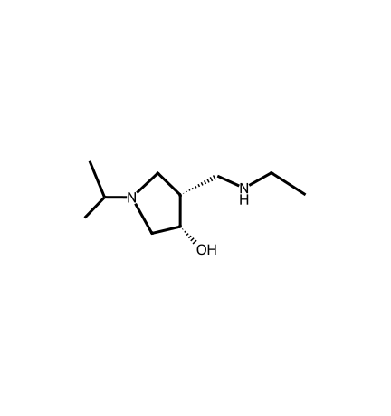 CCNC[C@H]1CN(C(C)C)C[C@H]1O